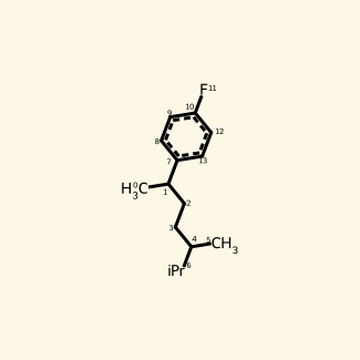 CC(CCC(C)C(C)C)c1ccc(F)cc1